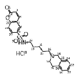 Cl.O=c1ccc2cc(S(=O)(=O)NCCCCCN3CCc4ccccc4C3)ccc2o1